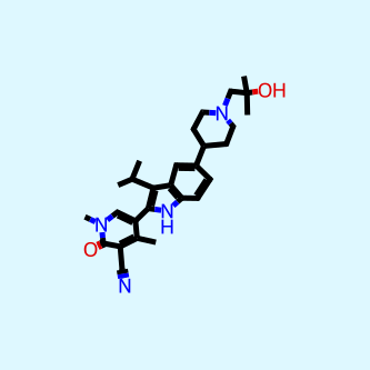 Cc1c(-c2[nH]c3ccc(C4CCN(CC(C)(C)O)CC4)cc3c2C(C)C)cn(C)c(=O)c1C#N